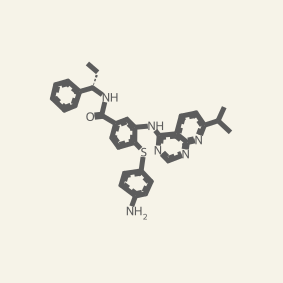 CC[C@H](NC(=O)c1ccc(Sc2ccc(N)cc2)c(Nc2ncnc3nc(C(C)C)ccc23)c1)c1ccccc1